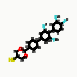 Fc1ccc(-c2c(F)cc(-c3ccc(C4OCC(S)CO4)cc3)cc2F)cc1F